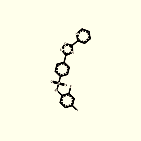 O=S(=O)(Nc1ccc(F)cc1F)c1ccc(-c2noc(-c3ccccn3)n2)cc1